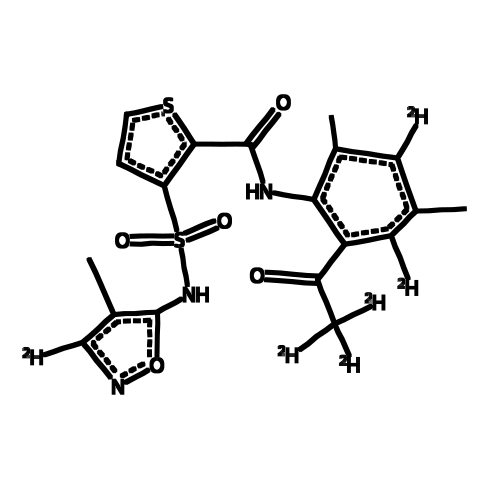 [2H]c1noc(NS(=O)(=O)c2ccsc2C(=O)Nc2c(C)c([2H])c(C)c([2H])c2C(=O)C([2H])([2H])[2H])c1C